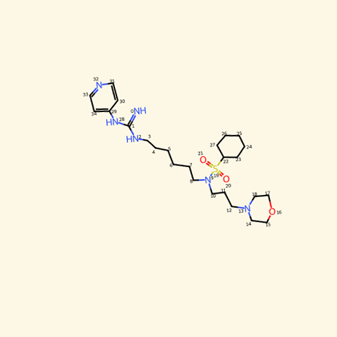 N=C(NCCCCCCN(CCCN1CCOCC1)S(=O)(=O)C1CCCCC1)Nc1ccncc1